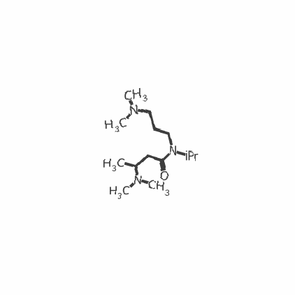 CC(CC(=O)N(CCCN(C)C)C(C)C)N(C)C